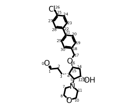 O=CCC[C@H]1[C@H](N2CCOCC2)[C@@H](O)C[C@H]1OCc1ccc(-c2ccc(Cl)cc2)cc1